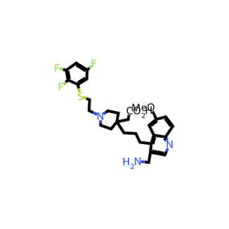 COc1ccc2ncc(CN)c(CCCC3(CC(=O)O)CCN(CCSc4cc(F)cc(F)c4F)CC3)c2c1